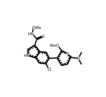 CONC(=S)c1c[nH]c2cc(Cl)c(-c3ccc(N(C)C)nc3OC)cc12